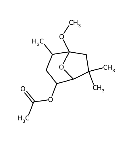 COC12CC(C)(C)C(O1)C(OC(C)=O)CC2C